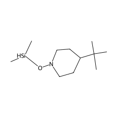 C[SiH](C)ON1CCC(C(C)(C)C)CC1